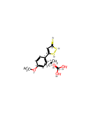 C=C.COc1ccc(-c2cc(=S)ss2)cc1.O=C(O)O